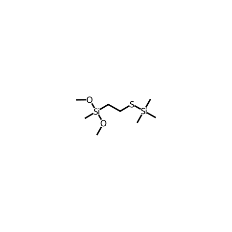 CO[Si](C)(CCS[Si](C)(C)C)OC